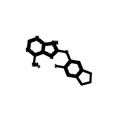 Nc1ncnc2[nH]c(Sc3cc4c(cc3I)CCC4)nc12